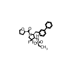 CCS(=O)(=O)N[C@@H]1[C@H](Cc2cccc(-c3ccccc3)c2)N(C(=O)[C@H]2CCCO2)CC1(F)F